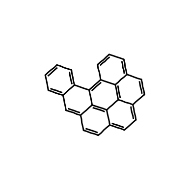 c1ccc2c(c1)cc1ccc3ccc4ccc5cccc6c5c4c3c1c26